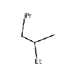 CCC(C)C[C](C)C